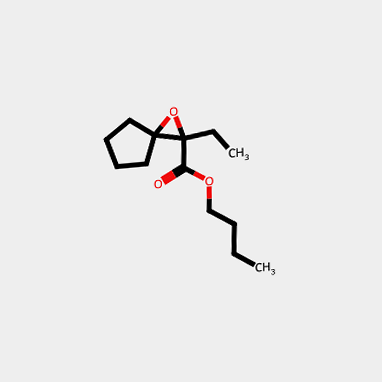 CCCCOC(=O)C1(CC)OC12CCCC2